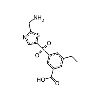 CCc1cc(C(=O)O)cc(S(=O)(=O)c2cnc(CN)s2)c1